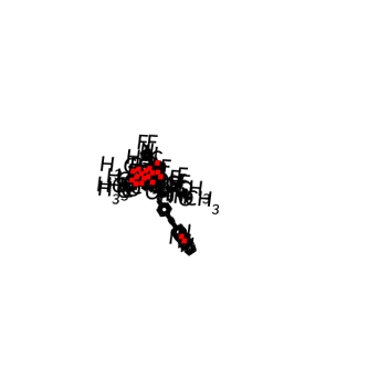 COC(=O)N[C@H](C(=O)N[C@@H](Cc1ccc(C#Cc2cnc(N3CC4CCC(C3)N4C3COC3)nc2)cc1)[C@H](CN(Cc1c(F)cc(-c2ccn(C(F)F)n2)cc1F)NC(=O)[C@@H](NC(=O)OC)C(C)(C)C(F)(F)F)OC(=O)CC(C)(C)c1c(CC(=O)N2[C@@H](C)CC[C@H]2C(=O)O)cc(C)cc1OP(=O)(O)O)C(C)(C)C(F)(F)F